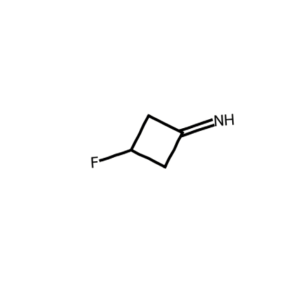 N=C1CC(F)C1